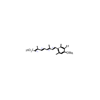 CCc1c(OC)cc(C)c(/C=C/C(C)=C/C=C/C(C)=C/C(=O)O)c1C